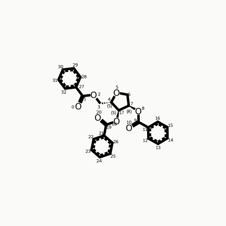 O=C(OC[C@@H]1OC[C@@H](OC(=O)c2ccccc2)[C@H]1OC(=O)c1ccccc1)c1ccccc1